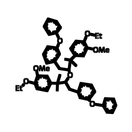 CCOc1ccc(C(C)(C)C(Cc2cccc(Oc3ccccc3)c2)OC(Cc2cccc(Oc3ccccc3)c2)C(C)(C)c2ccc(OCC)c(OC)c2)cc1OC